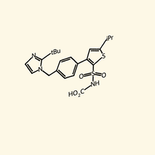 CC(C)c1cc(-c2ccc(Cn3ccnc3C(C)(C)C)cc2)c(S(=O)(=O)NC(=O)O)s1